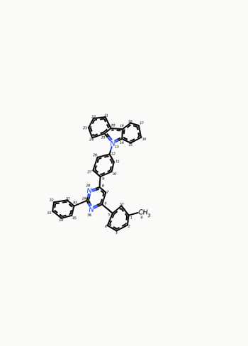 Cc1cccc(-c2cc(-c3ccc(-n4c5ccccc5c5ccccc54)cc3)nc(-c3ccccc3)n2)c1